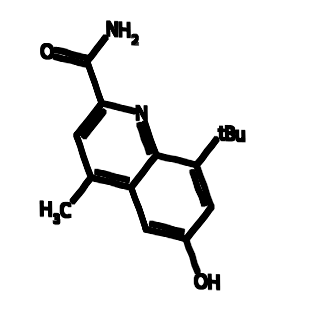 Cc1cc(C(N)=O)nc2c(C(C)(C)C)cc(O)cc12